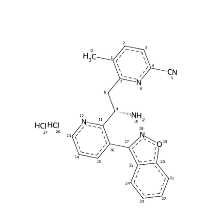 Cc1ccc(C#N)nc1C[C@H](N)c1ncccc1-c1noc2ccccc12.Cl.Cl